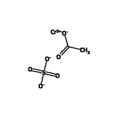 CC(=O)[O-].O=S(=O)([O-])[O-].[Cr+3]